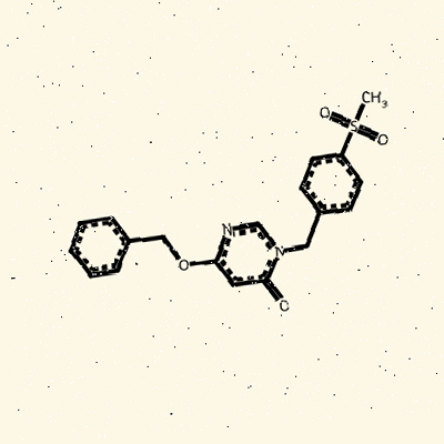 CS(=O)(=O)c1ccc(Cn2cnc(OCc3ccccc3)cc2=O)cc1